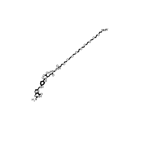 [N-]=[N+]=NCCOCCOCCOCCOCCOCCOCCOCCOCCOCCC(=O)NCCNC(=O)CCC(NC(=O)c1ccc(NCc2cnc3nc(N)[nH]c(=O)c3n2)cc1)C(=O)O